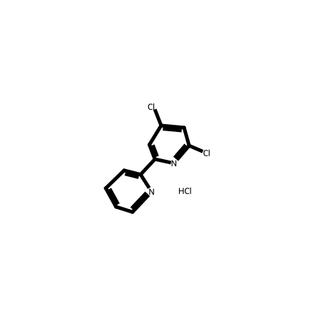 Cl.Clc1cc(Cl)nc(-c2ccccn2)c1